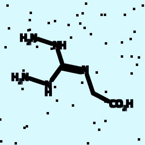 NNC(=NCC(=O)O)NN